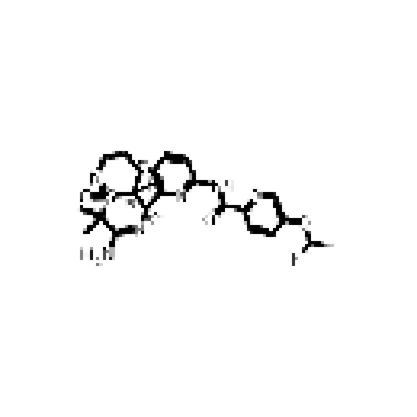 CC1(C)C(N)=N[C@](C)(c2nc(NC(=O)c3ccc(OC(F)F)cn3)ccc2F)[C@H]2CCCN=[S@@]21=O